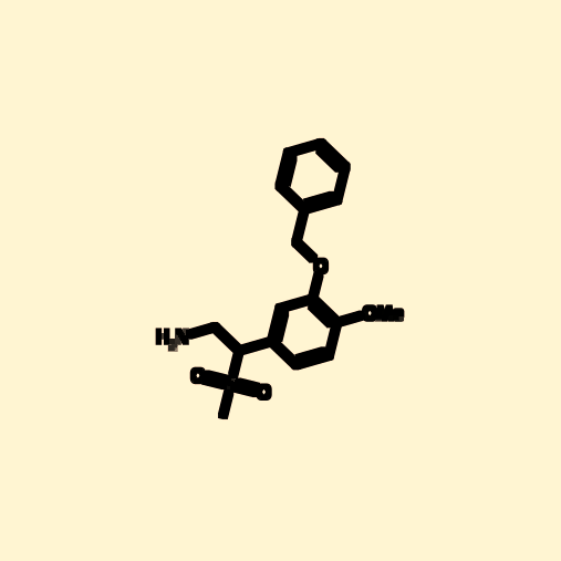 COc1ccc(C(CN)S(C)(=O)=O)cc1OCc1ccccc1